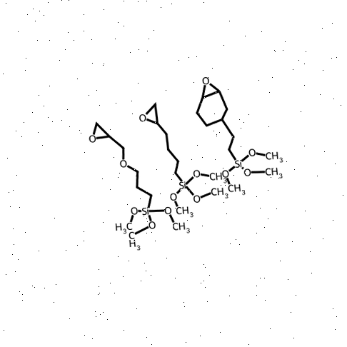 CO[Si](CCC1CCC2OC2C1)(OC)OC.CO[Si](CCCCC1CO1)(OC)OC.CO[Si](CCCOCC1CO1)(OC)OC